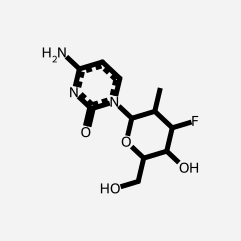 CC1C(F)C(O)C(CO)OC1n1ccc(N)nc1=O